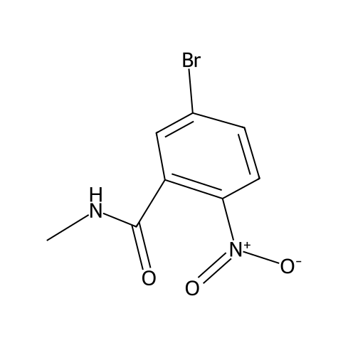 CNC(=O)c1cc(Br)ccc1[N+](=O)[O-]